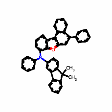 CC1(C)c2ccccc2-c2cc(N(c3ccccc3)c3cccc4c3oc3cc(-c5ccccc5)c5ccccc5c34)ccc21